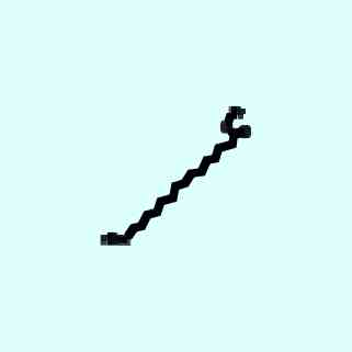 CCCCCCCCCCCCCCCCCCCCCCCCC(=O)OC(C)C